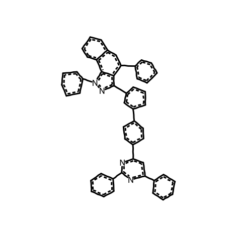 c1ccc(-c2cc(-c3ccc(-c4cccc(-c5nn(-c6ccccc6)c6c5c(-c5ccccc5)cc5ccccc56)c4)cc3)nc(-c3ccccc3)n2)cc1